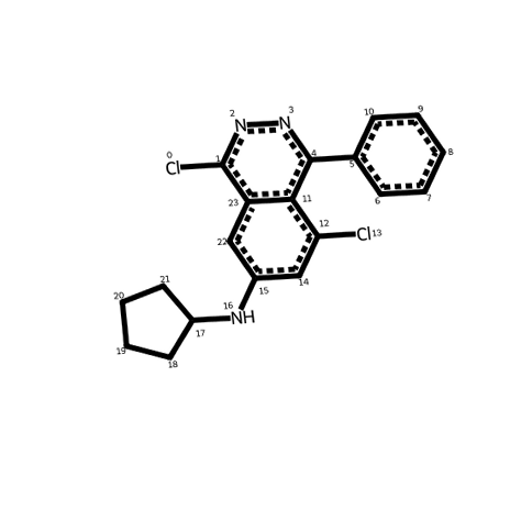 Clc1nnc(-c2ccccc2)c2c(Cl)cc(NC3CCCC3)cc12